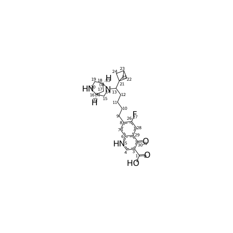 O=C(O)c1c[nH]c2cc(CCCCC(N3C[C@@H]4C[C@H]3CN4)C34CC(C3)C4)c(F)cc2c1=O